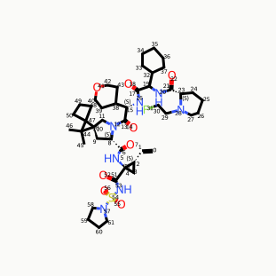 C=C[C@@H]1C[C@]1(NC(=O)[C@@H]1C[C@@]2(CN1C(=O)[C@@H](NC(=O)C(NC(=O)[C@@H]1CCCCN1CCF)C1CCCCC1)C1CCOCC1)C(C)(C)C21CCC1)C(=O)NS(=O)(=O)N1CCCC1